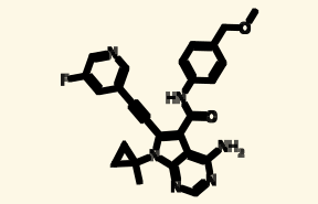 COCc1ccc(NC(=O)c2c(C#Cc3cncc(F)c3)n(C3(C)CC3)c3ncnc(N)c23)cc1